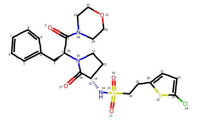 O=C([C@H](Cc1ccccc1)N1CC[C@H](NS(=O)(=O)CCc2ccc(Cl)s2)C1=O)N1CCOCC1